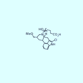 CCCN1C[C@H](COC)CC2c3cccc4[nH]c(Cl)c(c34)C[C@H]21.O=C(O)CCC(=O)O